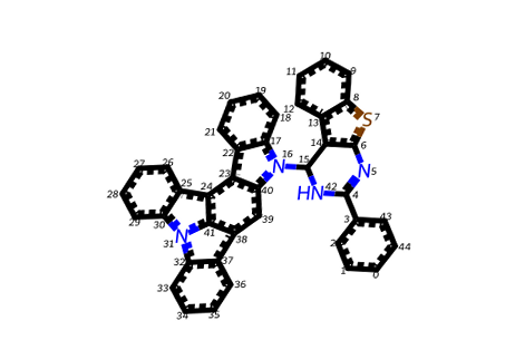 c1ccc(C2=Nc3sc4ccccc4c3C(n3c4ccccc4c4c5c6ccccc6n6c7ccccc7c(cc43)c56)N2)cc1